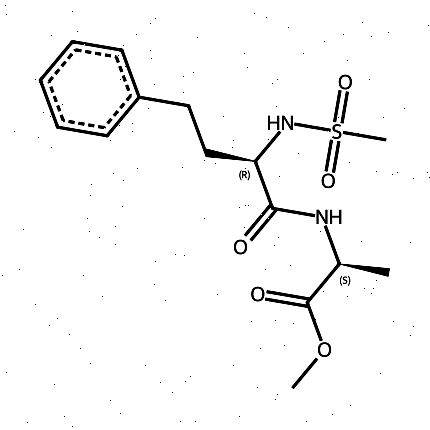 COC(=O)[C@H](C)NC(=O)[C@@H](CCc1ccccc1)NS(C)(=O)=O